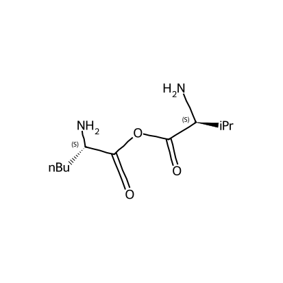 CCCC[C@H](N)C(=O)OC(=O)[C@@H](N)C(C)C